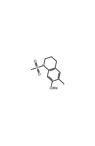 COc1cc2c(cc1I)CCCN2S(C)(=O)=O